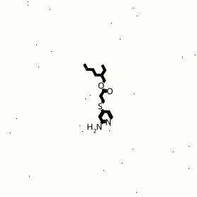 CCCCC(CC)COC(=O)CCSc1ccnc(N)c1